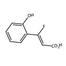 O=C(O)C=C(F)c1ccccc1O